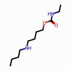 CCCCNCCCCOC(=O)NCC